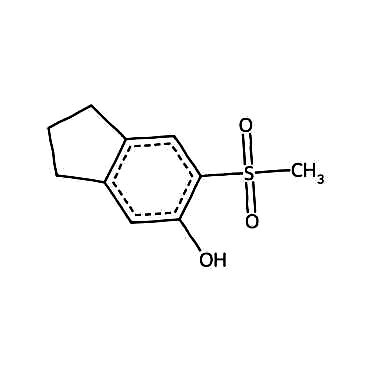 CS(=O)(=O)c1cc2c(cc1O)CCC2